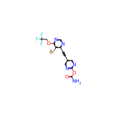 NC(=O)Oc1ncc(C#Cc2ncnc(OCC(F)(F)F)c2Br)cn1